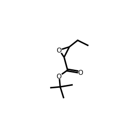 CCC1OC1C(=O)OC(C)(C)C